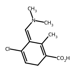 CC1=C(C(=O)O)CC=C(Cl)C1=CN(C)C